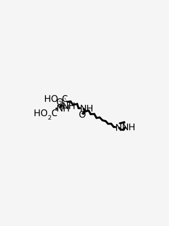 O=C(O)CNC(=O)N[C@@H](CCCCNC(=O)CCCCCCCCCCN1CCNCC1)C(=O)O